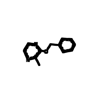 Cc1nccnc1OCc1ccccc1